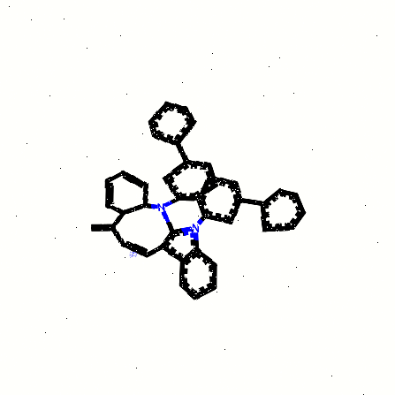 C=C1/C=C\c2c(n(-c3cccc(-c4ccccc4)c3)c3ccccc23)N(c2cccc(-c3ccccc3)c2)C2C=CC=CC12